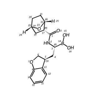 O=C(N[C@@H](C[C@@H]1COc2ccccc21)B(O)O)[C@@H]1C[C@@H]2CC[C@H]1O2